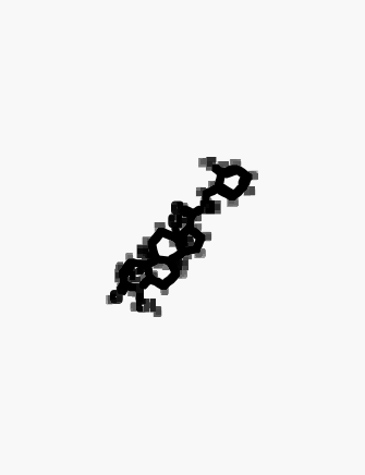 CN1C(=O)C=C[C@@]2(C)C1CC[C@@H]1[C@H]2CC[C@]2(C)C(C(=O)NCc3ccccc3F)CC[C@@H]12